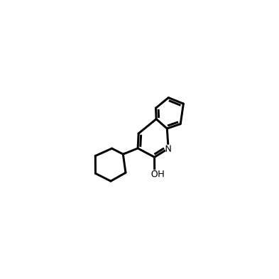 Oc1nc2ccccc2cc1C1CCCCC1